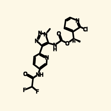 C[C@@H](OC(=O)Nc1c(-c2ccc(NC(=O)C(F)F)cn2)nnn1C)c1cccnc1Cl